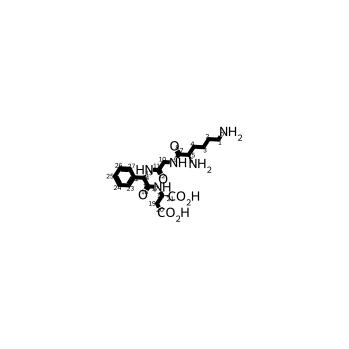 NCCCC[C@@H](N)C(=O)NCC(=O)N[C@H](C(=O)N[C@@H](CC(=O)O)C(=O)O)c1ccccc1